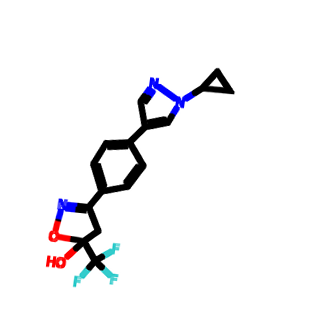 OC1(C(F)(F)F)CC(c2ccc(-c3cnn(C4CC4)c3)cc2)=NO1